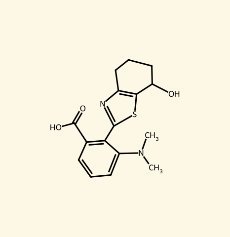 CN(C)c1cccc(C(=O)O)c1-c1nc2c(s1)C(O)CCC2